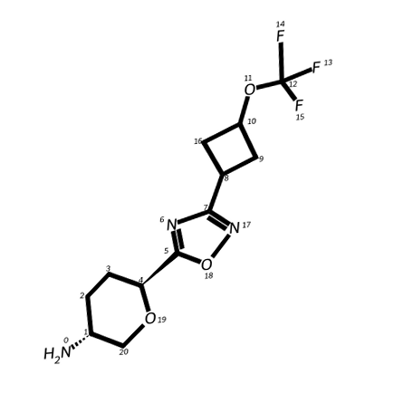 N[C@@H]1CC[C@@H](c2nc(C3CC(OC(F)(F)F)C3)no2)OC1